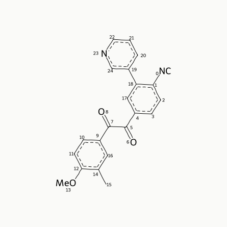 [C-]#[N+]c1ccc(C(=O)C(=O)c2ccc(OC)c(C)c2)cc1-c1cccnc1